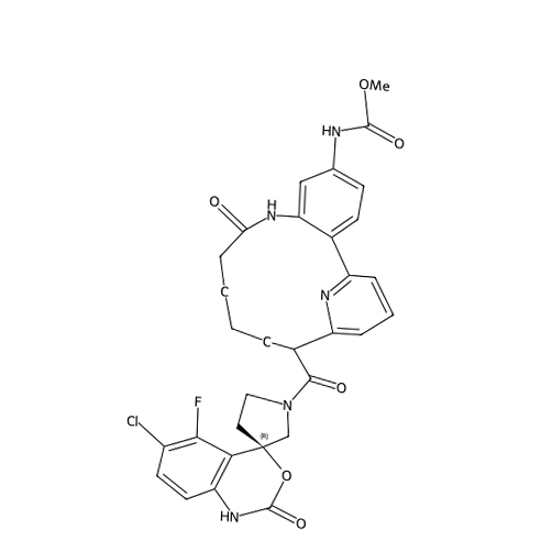 COC(=O)Nc1ccc2c(c1)NC(=O)CCCCC(C(=O)N1CC[C@@]3(C1)OC(=O)Nc1ccc(Cl)c(F)c13)c1cccc-2n1